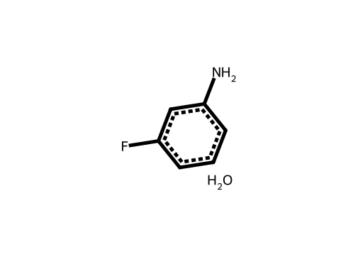 Nc1cccc(F)c1.O